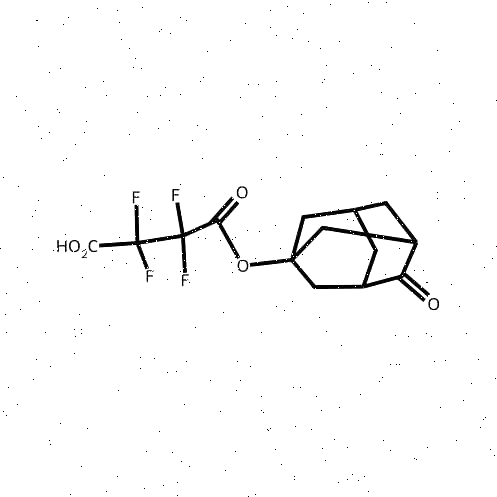 O=C1C2CC3CC1CC(OC(=O)C(F)(F)C(F)(F)C(=O)O)(C3)C2